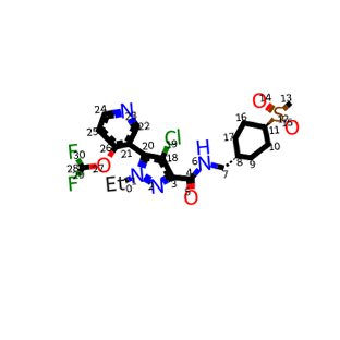 CCn1nc(C(=O)NC[C@H]2CC[C@H](S(C)(=O)=O)CC2)c(Cl)c1-c1cnccc1OC(F)F